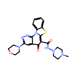 CN1CCN(NC(=O)c2c(=O)c3cc(N4CCOCC4)nnc3n3c2sc2ccccc23)CC1